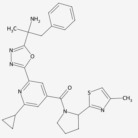 Cc1csc(C2CCCN2C(=O)c2cc(-c3nnc(C(C)(N)Cc4ccccc4)o3)nc(C3CC3)c2)n1